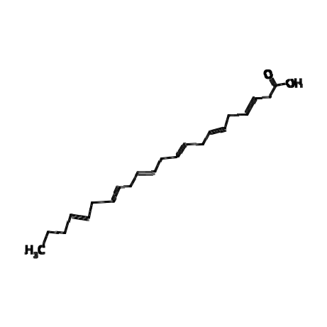 CCCC=CCC=CCC=CCC=CCC=CCC=CCC(=O)O